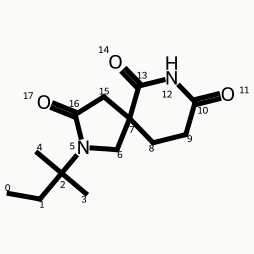 CCC(C)(C)N1CC2(CCC(=O)NC2=O)CC1=O